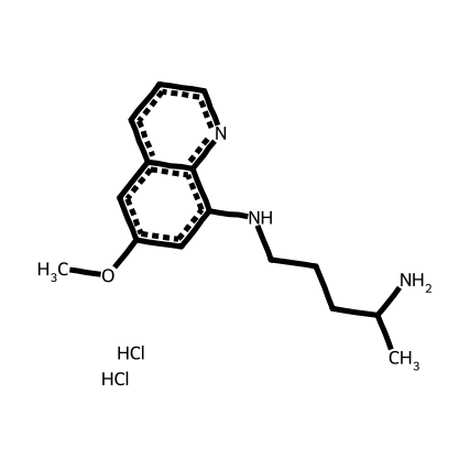 COc1cc(NCCCC(C)N)c2ncccc2c1.Cl.Cl